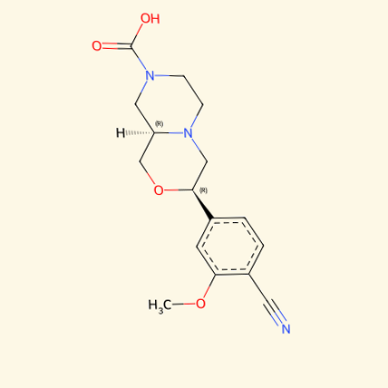 COc1cc([C@@H]2CN3CCN(C(=O)O)C[C@@H]3CO2)ccc1C#N